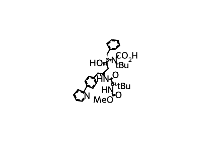 COC(=O)N[C@H](C(=O)N[C@@H](Cc1ccc(-c2ccccn2)cc1)C[C@@H](O)[C@H](Cc1ccccc1)N(C(=O)O)C(C)(C)C)C(C)(C)C